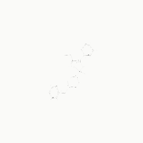 CCC(=O)N(CC(C)(C)N1CCN(Cc2ccccc2)CC1)c1ccccc1